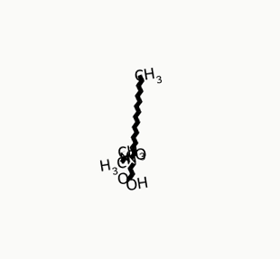 CCCCCCCCCCCCCCCC(=O)N(CCCC(=O)O)N(C)C